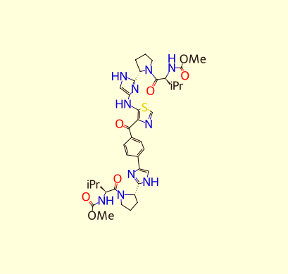 COC(=O)N[C@H](C(=O)N1CCC[C@H]1c1nc(Nc2scnc2C(=O)c2ccc(-c3c[nH]c([C@@H]4CCCN4C(=O)[C@@H](NC(=O)OC)C(C)C)n3)cc2)c[nH]1)C(C)C